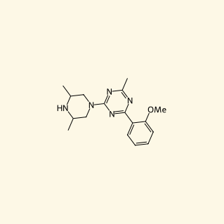 COc1ccccc1-c1nc(C)nc(N2CC(C)NC(C)C2)n1